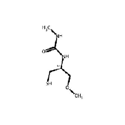 CNC(=O)N[C@H](CS)COC